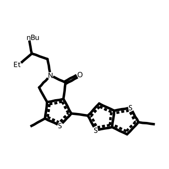 CCCCC(CC)CN1Cc2c(C)sc(-c3cc4sc(C)cc4s3)c2C1=O